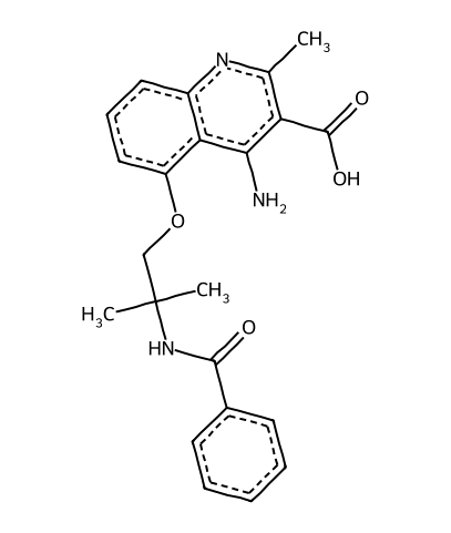 Cc1nc2cccc(OCC(C)(C)NC(=O)c3ccccc3)c2c(N)c1C(=O)O